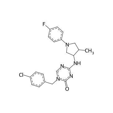 CC1CN(c2ccc(F)cc2)CC1Nc1ncn(Cc2ccc(Cl)cc2)c(=O)n1